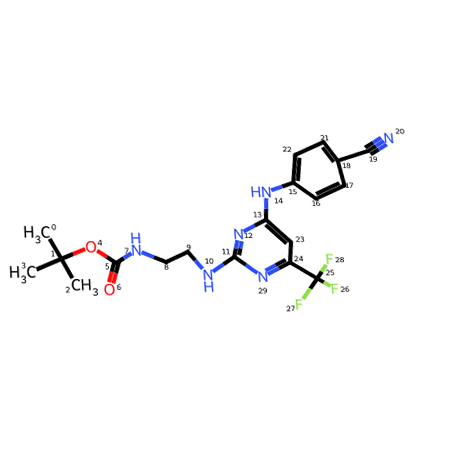 CC(C)(C)OC(=O)NCCNc1nc(Nc2ccc(C#N)cc2)cc(C(F)(F)F)n1